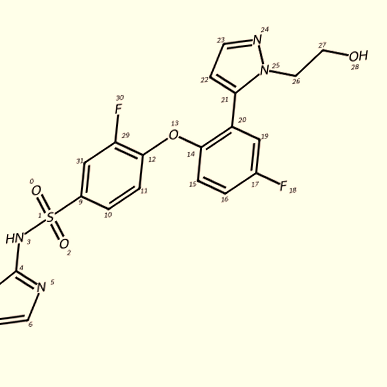 O=S(=O)(Nc1nccs1)c1ccc(Oc2ccc(F)cc2-c2ccnn2CCO)c(F)c1